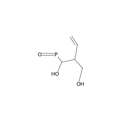 C=CC(CO)C(O)P=O